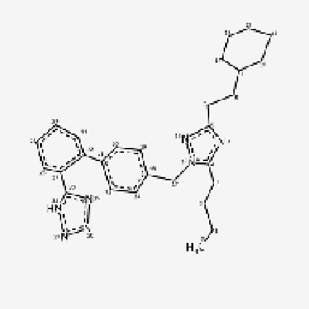 CCCCc1nc(CCC2CCCCC2)nn1Cc1ccc(-c2ccccc2-c2nnn[nH]2)cc1